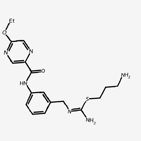 CCOc1cnc(C(=O)Nc2cccc(C/N=C(/N)SCCCN)c2)cn1